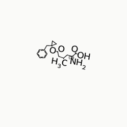 CC(CC(=O)OC1(Cc2ccccc2)CC1)C[C@H](N)C(=O)O